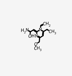 C=CN1C(CC)=CC(COC)=N/C1=C\C(N)O